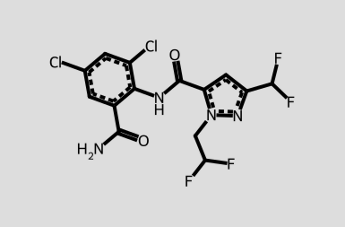 NC(=O)c1cc(Cl)cc(Cl)c1NC(=O)c1cc(C(F)F)nn1CC(F)F